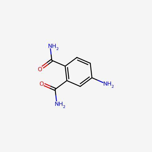 NC(=O)c1ccc(N)cc1C(N)=O